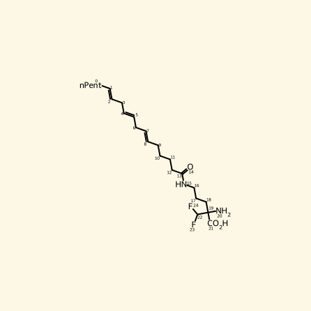 CCCCC/C=C/C/C=C/C/C=C/CCCCC(=O)NCCCC(N)(C(=O)O)C(F)F